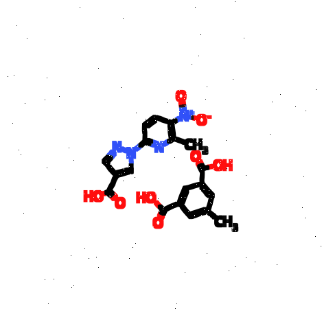 Cc1cc(C(=O)O)cc(C(=O)O)c1.Cc1nc(-n2cc(C(=O)O)cn2)ccc1[N+](=O)[O-]